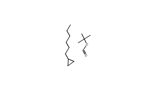 CC(C)(C)OC=O.CCCCCCC1CC1